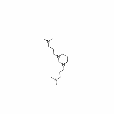 CN(C)CCCN1CCCN(CCCN(C)C)C1